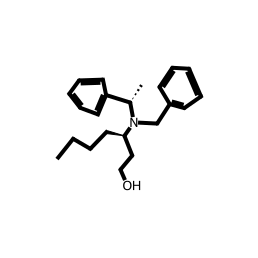 CCCC[C@H](CCO)N(Cc1ccccc1)[C@@H](C)c1ccccc1